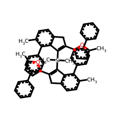 Cc1ccc(C2=C([Si](C)(C)C3=C(c4ccc(C)o4)[CH]c4ccc(C)c(-c5ccc(-c6ccccc6)cc5)c43)c3c(ccc(C)c3-c3ccc(-c4ccccc4)cc3)[CH]2)o1